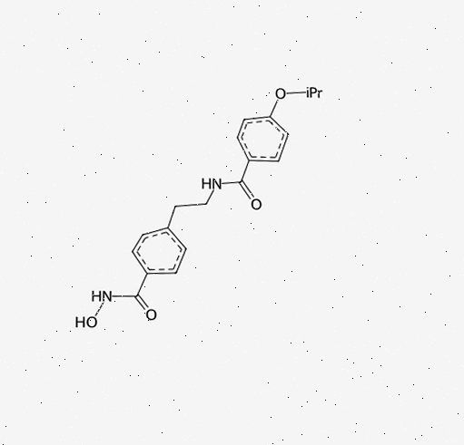 CC(C)Oc1ccc(C(=O)NCCc2ccc(C(=O)NO)cc2)cc1